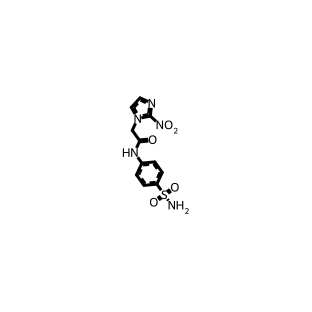 NS(=O)(=O)c1ccc(NC(=O)Cn2ccnc2[N+](=O)[O-])cc1